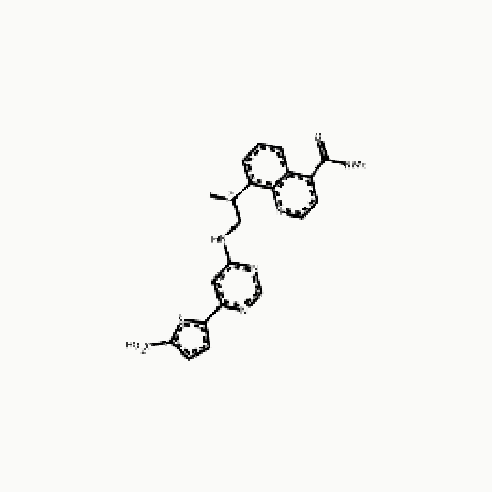 CNC(=O)c1ccnc2c([C@H](C)CNc3cc(-c4ccc(C(=O)O)s4)ncn3)cccc12